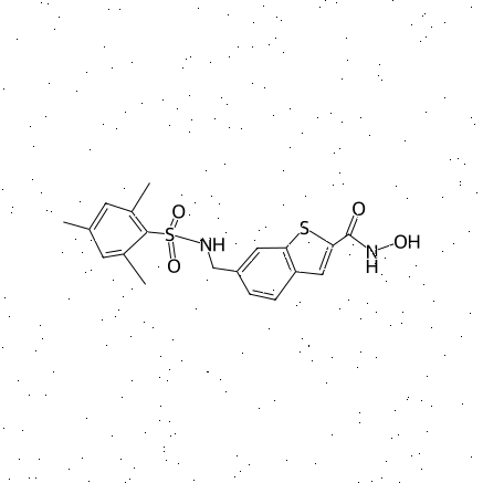 Cc1cc(C)c(S(=O)(=O)NCc2ccc3cc(C(=O)NO)sc3c2)c(C)c1